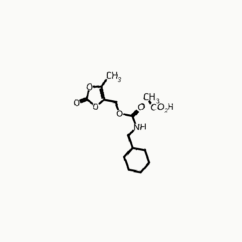 CC(=O)O.Cc1oc(=O)oc1COC(=O)NCC1CCCCC1